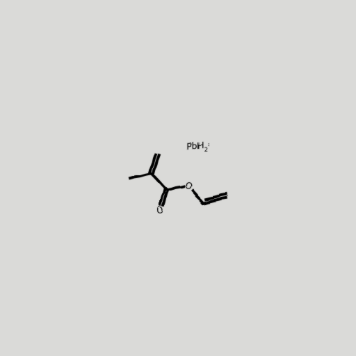 C=COC(=O)C(=C)C.[PbH2]